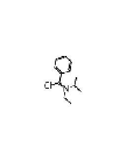 CC/[N+](=C(\Cl)c1ccccc1)C(C)C